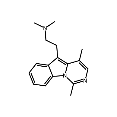 Cc1cnc(C)n2c1c(CCN(C)C)c1ccccc12